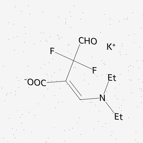 CCN(C=C(C(=O)[O-])C(F)(F)C=O)CC.[K+]